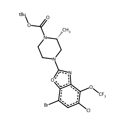 C[C@@H]1CN(c2nc3c(OC(F)(F)F)c(Cl)cc(Br)c3o2)CCN1C(=O)OC(C)(C)C